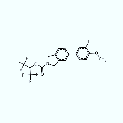 COc1ccc(-c2ccc3c(c2)CN(C(=O)OC(C(F)(F)F)C(F)(F)F)C3)cc1F